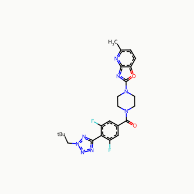 Cc1ccc2oc(N3CCN(C(=O)c4cc(F)c(-c5nnn(CC(C)(C)C)n5)c(F)c4)CC3)nc2n1